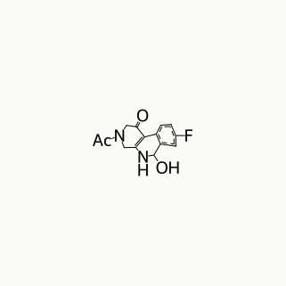 CC(=O)N1CC(=O)C2=C(C1)NC(O)c1cc(F)ccc12